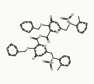 Cc1ccccc1N(Cc1cc(=O)c(OCc2ccccc2)c(C(=O)OC(=O)c2oc(CN(c3ccccc3C)[SH](=O)=O)cc(=O)c2OCc2ccccc2)o1)[SH](=O)=O